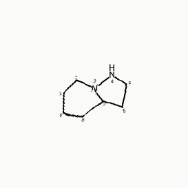 C1CCN2NCCC2C1